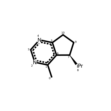 Cc1ncnc2c1[C@H](C(C)C)CC2